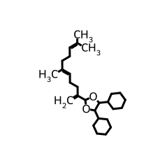 C=C(CC/C=C(\C)CCC=C(C)C)C1OC(C2CCCCC2)C(C2CCCCC2)O1